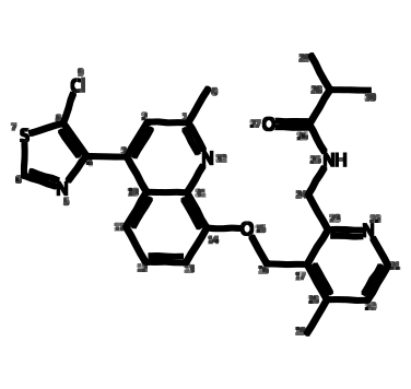 Cc1cc(-c2ncsc2Cl)c2cccc(OCc3c(C)ccnc3CNC(=O)C(C)C)c2n1